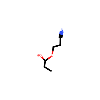 CCC(O)OCCC#N